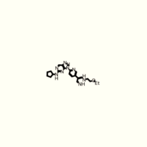 CCOCCN/C=C(\C=N)c1ccc(-n2nnc3cnc(NC4CCCC4)nc32)nc1